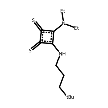 CCN(CC)c1c(NCCCC(C)(C)C)c(=S)c1=S